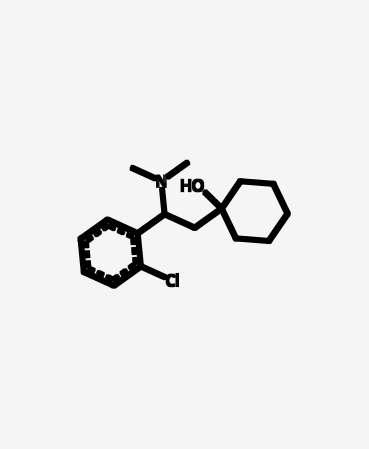 CN(C)C(CC1(O)CCCCC1)c1ccccc1Cl